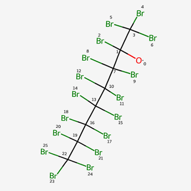 [O]C(Br)(C(Br)(Br)Br)C(Br)(Br)C(Br)(Br)C(Br)(Br)C(Br)(Br)C(Br)(Br)C(Br)(Br)Br